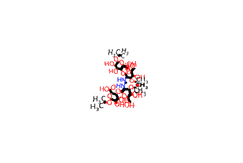 CC(C)OC1OC(C(=O)O)C(OC2OC(CO)C(O)C(OC(C)C)C2NCNC2C(OC3C(C(=O)O)OC(OC(C)C)C(O)C3O)OC(CO)C(O)C2OC(C)C)C(O)C1O